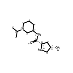 CC(C)N1CCCC(NC(=O)[C@@H]2C[C@H](O)CN2)C1